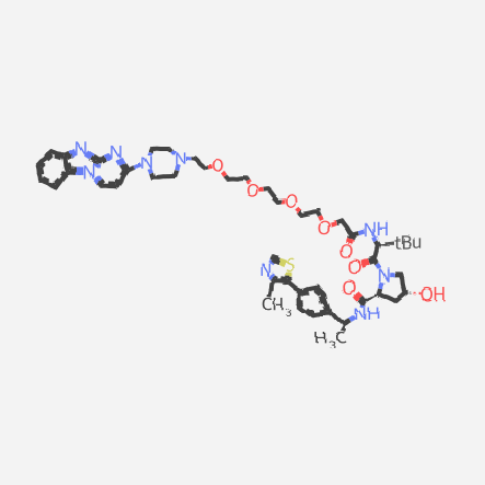 Cc1ncsc1-c1ccc([C@H](C)NC(=O)[C@@H]2C[C@@H](O)CN2C(=O)[C@@H](NC(=O)COCCOCCOCCOCCN2CCN(c3ccn4c(n3)nc3ccccc34)CC2)C(C)(C)C)cc1